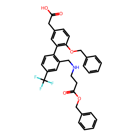 O=C(O)Cc1ccc(OCc2ccccc2)c(-c2ccc(C(F)(F)F)cc2CNCCC(=O)OCc2ccccc2)c1